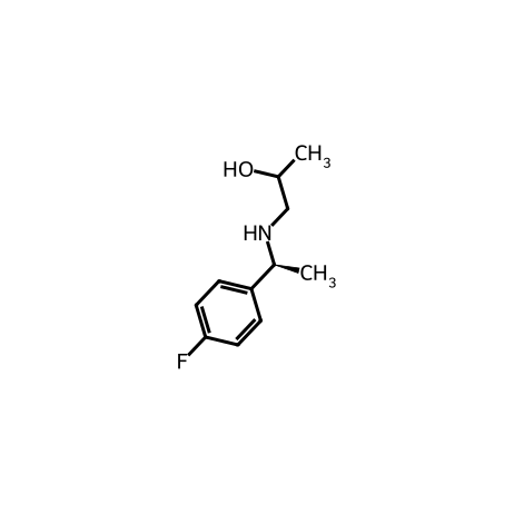 CC(O)CN[C@@H](C)c1ccc(F)cc1